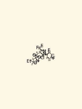 CCC1(C)CC(S(=O)(=O)Cc2c(C(F)F)nn(-c3ccc(F)cc3F)c2Cl)=NO1